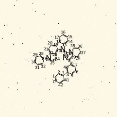 c1ccc(-c2cccc(-c3nc(-n4c5ccccc5c5ccc6c(ccn6-c6ccccc6)c54)n4ccccc34)c2)cc1